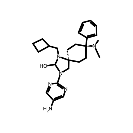 CN(C)[C@]1(c2ccccc2)CC[C@]2(CC1)CN(c1ncc(N)cn1)C(O)N2CC1CCC1